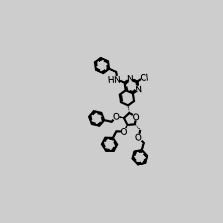 Clc1nc2c(c(NCc3ccccc3)n1)C=CC([C@@H]1O[C@H](COCc3ccccc3)[C@@H](OCc3ccccc3)[C@H]1OCc1ccccc1)C2